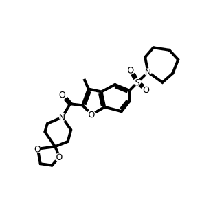 Cc1c(C(=O)N2CCC3(CC2)OCCO3)oc2ccc(S(=O)(=O)N3CCCCCC3)cc12